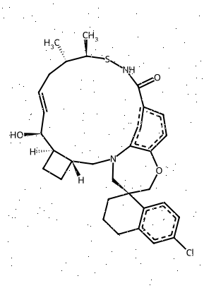 C[C@H]1C/C=C/[C@H](O)[C@@H]2CC[C@H]2CN2C[C@@]3(CCCc4cc(Cl)ccc43)COc3ccc(cc32)C(=O)NS[C@@H]1C